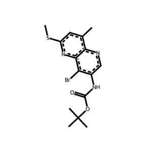 CSc1cc(C)c2ncc(NC(=O)OC(C)(C)C)c(Br)c2n1